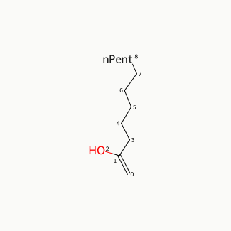 C=C(O)CCCCCCCCCC